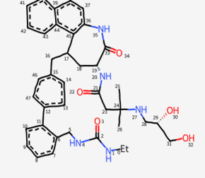 CCNC(=O)NCc1ccccc1-c1ccc(CC2C[C@@H](NC(=O)CC(C)(C)NC[C@H](O)CO)C(=O)Nc3ccc4ccccc4c32)cc1